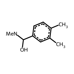 CNC(O)c1ccc(C)c(C)c1